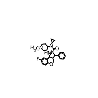 CN1CCC(N(C(=O)N2NC3c4cc(F)ccc4OCC3C2c2ccccc2)C2CC2)CC1